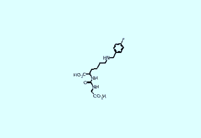 O=C(O)CNC(=O)NC(CCCCNCc1ccc(F)cc1)C(=O)O